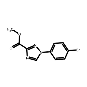 COC(=O)c1ncn(-c2ccc(Br)cc2)n1